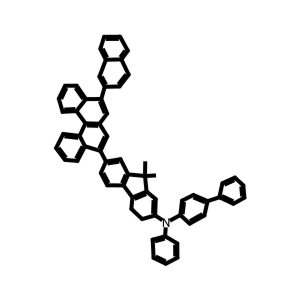 CC1(C)C2=C(CCC(N(c3ccccc3)c3ccc(-c4ccccc4)cc3)=C2)c2ccc(-c3cc4cc(-c5ccc6ccccc6c5)c5ccccc5c4c4ccccc34)cc21